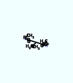 CCCCC(F)(F)/C=C\CCOC(=O)CCCCCCCC(CCCCCCCC(=O)OCC/C=C\C(F)(F)CCCC)CCCCN(C)C